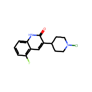 O=c1[nH]c2cccc(F)c2cc1C1CCN(Cl)CC1